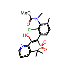 COC(=O)N(C)c1c(C)ccc(C2=C(O)c3ncccc3C(C)(C)S2(=O)=O)c1Cl